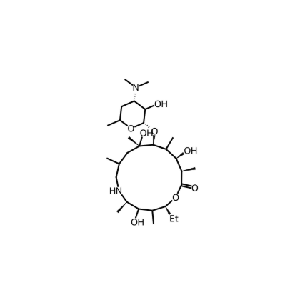 CC[C@@H]1OC(=O)[C@H](C)[C@H](O)C(C)[C@H](O[C@@H]2OC(C)C[C@H](N(C)C)C2O)[C@@](C)(O)CC(C)CN[C@H](C)C(O)C1C